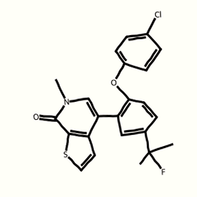 Cn1cc(-c2cc(C(C)(C)F)ccc2Oc2ccc(Cl)cc2)c2ccsc2c1=O